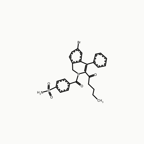 CCCCC(=O)C1=C(c2ccccc2)c2cc(Br)ccc2CN1C(=O)c1ccc(S(N)(=O)=O)cc1